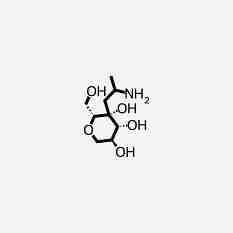 CC(N)C[C@@]1(O)[C@H](O)[C@@H](O)CO[C@@H]1CO